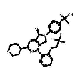 CC(C)(O)c1ccc(N2Cc3c(cc(C4CCOCC4)nc3-c3ccccc3OCC(F)(F)F)C2=O)cc1